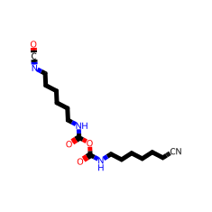 N#CCCCCCCNC(=O)OC(=O)NCCCCCCN=C=O